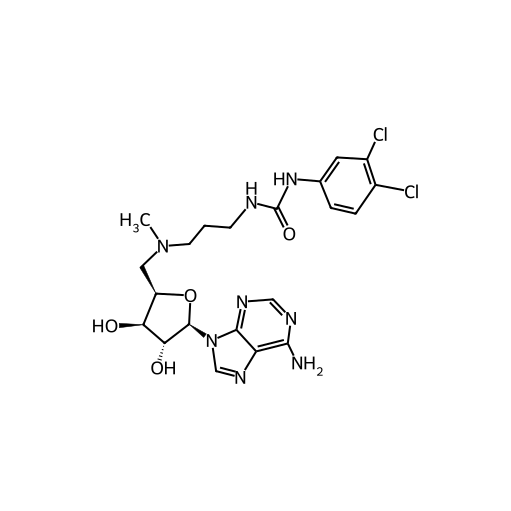 CN(CCCNC(=O)Nc1ccc(Cl)c(Cl)c1)C[C@H]1O[C@@H](n2cnc3c(N)ncnc32)[C@H](O)[C@H]1O